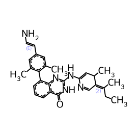 CC/C(C)=C1\C=NC(Nc2nc3c(-c4c(C)cc(/C=C/N)cc4C)cccc3c(=O)[nH]2)=CC1C